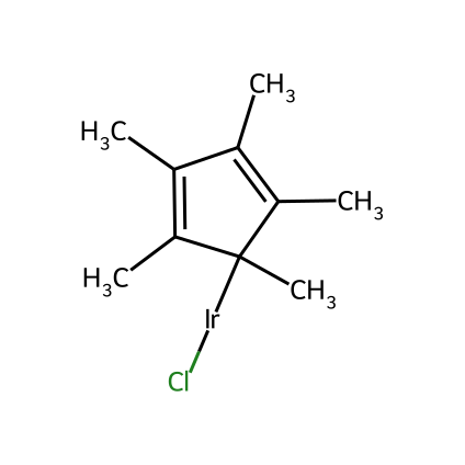 CC1=C(C)[C](C)([Ir][Cl])C(C)=C1C